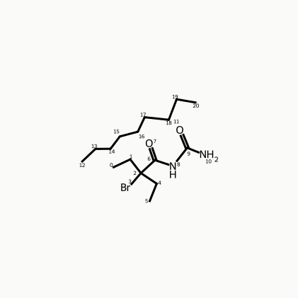 CCC(Br)(CC)C(=O)NC(N)=O.CCCCCCCCC